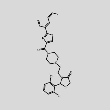 C=C/C(=C\C=C/C)c1nc(C(=O)N2CCN(CCN3C(=O)CSC3c3c(Cl)cccc3Cl)CC2)cs1